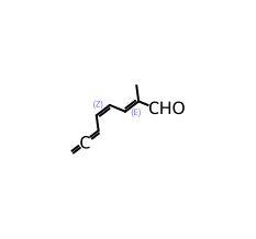 C=C=C/C=C\C=C(/C)C=O